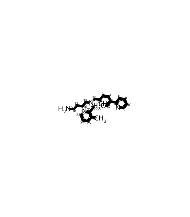 C=C(/C=C\C(=C/C)c1ccccn1)CN(CCCCN)Cc1ncccc1C